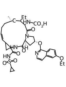 CCOc1ccc2c(O[C@@H]3C[C@H]4C(=O)NC5(C(=O)NS(=O)(=O)C6CC6)CC5/C=C\CC[C@H](C)C[C@@H](CC)[C@H](NC(=O)O)C(=O)N4C3)nccc2c1